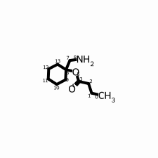 CCCC(=O)OC1(CN)CCCCC1